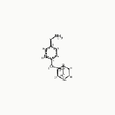 NCc1ccc(OC2CN3CCC2CC3)nc1